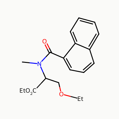 CCOCC(C(=O)OCC)N(C)C(=O)c1cccc2ccccc12